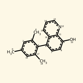 Cc1cc(C)c(-c2ccc(O)c3ncccc23)c(C)c1